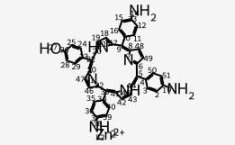 Nc1ccc(-c2c3nc(c(-c4ccc(N)cc4)c4ccc([nH]4)c(-c4ccc(O)cc4)c4nc(c(-c5ccc(N)cc5)c5ccc2[nH]5)C=C4)C=C3)cc1.[Zn+2]